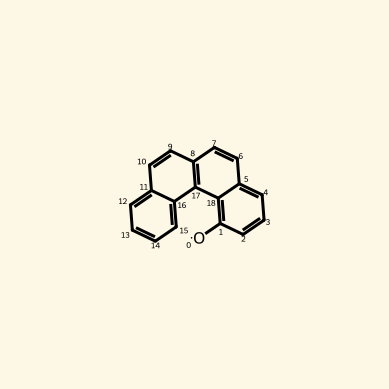 [O]c1cccc2ccc3ccc4ccccc4c3c12